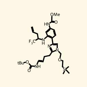 C=CCC(Nc1cc(NC(=O)OC)ccc1-c1cn(COCC[Si](C)(C)C)c(CCC=CNC(=O)OC(C)(C)C)n1)C(F)(F)F